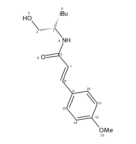 CC[C@@H](C)[C@@H](CO)NC(=O)/C=C/c1ccc(OC)cc1